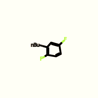 C[CH]CCc1cc(F)ccc1F